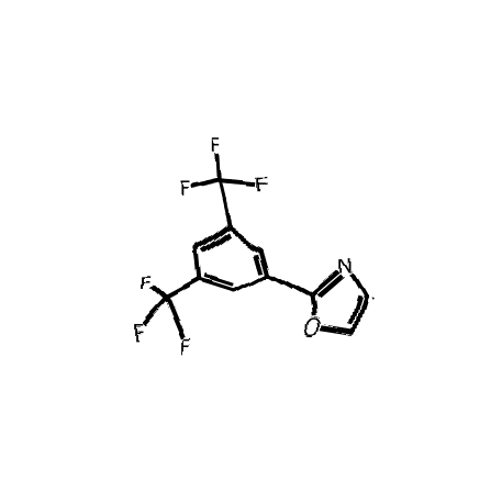 FC(F)(F)c1cc(-c2n[c]co2)cc(C(F)(F)F)c1